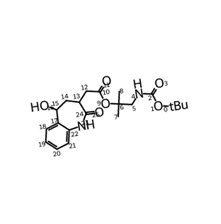 CC(C)(C)OC(=O)NCC(C)(C)OC(=O)CC1CC(O)c2ccccc2NC1=O